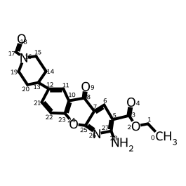 CCOC(=O)c1cc2c(=O)c3cc(C4CCN(C=O)CC4)ccc3oc2nc1N